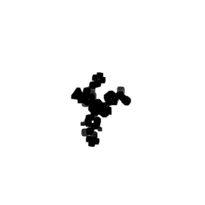 C#CC(=O)N1CCC(n2ncc3c(N4C[C@@H](C)N(C(=O)OC(C)(C)C)[C@@H](C)C4)cc(S(=O)(=O)N(COCC[Si](C)(C)C)C4(C)CC4)cc32)C1